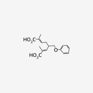 CC(=CCC(C=C(C)C(=O)O)COc1ccccc1)C(=O)O